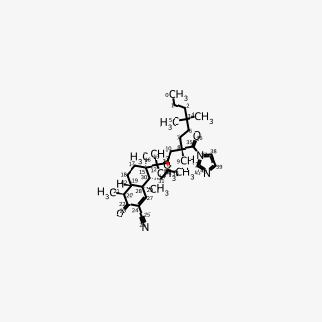 CCCC(C)(C)CC[C@@](C)(CCC(C)(C)[C@]1(C)CC[C@H]2[C@H](C)C(=O)C(C#N)=C[C@]2(C)[C@H]1CC(C)=O)C(=O)n1ccnc1